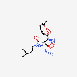 Cc1ccc(-c2noc(N)c2C(=O)NCCC(C)C)o1